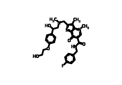 Cc1c(CN(C)CC(O)c2ccc(OCCO)cc2)sc2c(=O)c(C(=O)NCc3ccc(F)cc3)cn(C)c12